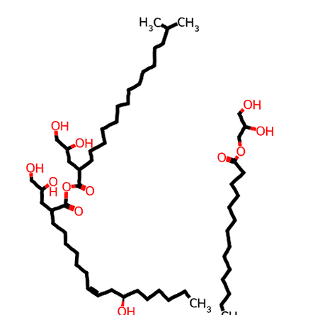 CCCCCCCCCCCCCC(=O)OCC(O)CO.CCCCCC[C@@H](O)C/C=C\CCCCCCC(CC(O)CO)C(=O)OC(=O)C(CCCCCCCCCCCCCC(C)C)CC(O)CO